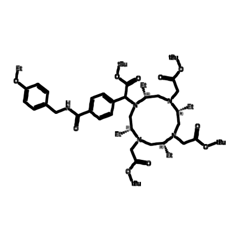 CCOc1ccc(CNC(=O)c2ccc(C(C(=O)OC(C)(C)C)N3C[C@@H](CC)N(CC(=O)OC(C)(C)C)C[C@@H](CC)N(CC(=O)OC(C)(C)C)C[C@@H](CC)N(CC(=O)OC(C)(C)C)C[C@H]3CC)cc2)cc1